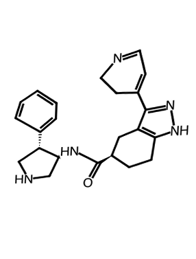 O=C(N[C@H]1CNC[C@@H]1c1ccccc1)[C@@H]1CCc2[nH]nc(C3=CC=NCC3)c2C1